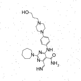 N=Cc1nc(N2CCCCCC2)nc(Nc2ccc(N3CCN(CCCO)CC3)cc2)c1C(N)=O